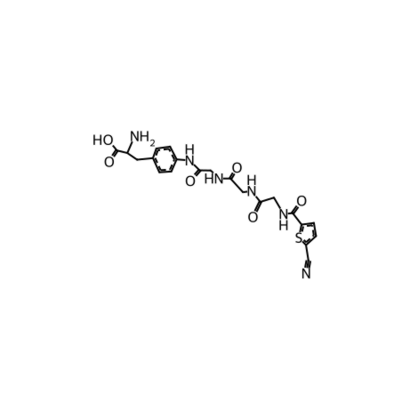 N#Cc1ccc(C(=O)NCC(=O)NCC(=O)NCC(=O)Nc2ccc(CC(N)C(=O)O)cc2)s1